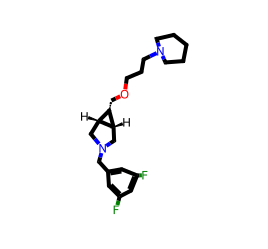 Fc1cc(F)cc(CN2C[C@@H]3[C@H](COCCCN4CCCCC4)[C@@H]3C2)c1